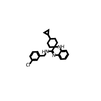 Clc1cccc(CNC2=Nc3ccccc3NC23CCC(C2CC2)CC3)c1